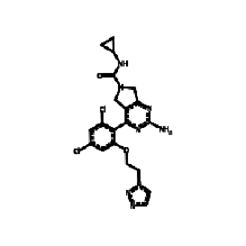 Nc1nc2c(c(-c3c(Cl)cc(Cl)cc3OCCn3ccnn3)n1)CN(C(=O)NC1CC1)C2